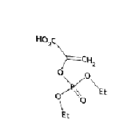 C=C(OP(=O)(OCC)OCC)C(=O)O